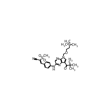 CC(C)(C)C(=O)c1cn(COCC[Si](C)(C)C)c2ncc(Nc3ccc(C=C(C#N)S(C)(=O)=O)cc3)nc12